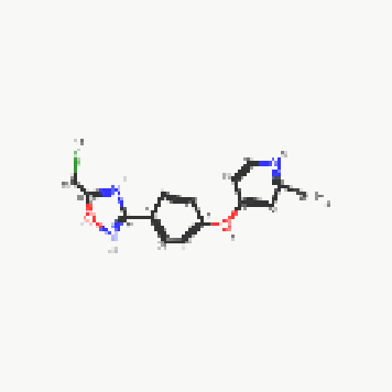 FC(F)(F)c1cc(Oc2ccc(-c3noc(CCl)n3)cc2)ccn1